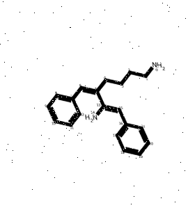 NCCCCC(=Cc1ccccc1)C(N)=Cc1ccccc1